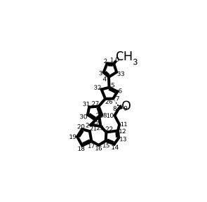 CC1=CC=C(C2=C[C@H](C(=O)CCC3=CC=C(CC4=CC=CC4)C3C3CC3)C(C3=CC=CC3)C2)C1